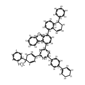 CC1(c2ccccc2)C=CC(c2nc(-c3ccc(C4=CCCC=C4)cc3)nc(-c3ccc(-c4cccc5c4C=CCC5c4ccccc4)c4oc5ccccc5c34)n2)=CC1